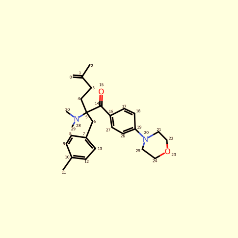 C=C(C)CCC(Cc1ccc(C)cc1)(C(=O)c1ccc(N2CCOCC2)cc1)N(C)C